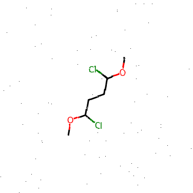 COC(Cl)CCC(Cl)OC